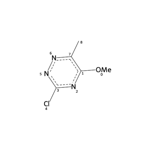 COc1nc(Cl)nnc1C